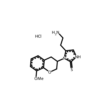 COc1cccc2c1OCC(n1c(CCN)c[nH]c1=S)C2.Cl